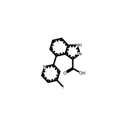 O=C(O)c1n[nH]c2cccc(-c3cc(I)ccn3)c12